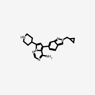 Nc1ncnn2c(C3CCNCC3)cc(-c3ccc4cn(CC5CC5)nc4c3)c12